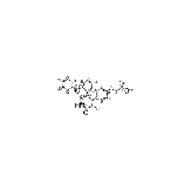 COC(=O)CCc1ccc(-c2c(-c3ccccc3Oc3ccccc3)n[nH]c(=O)c2C)cc1